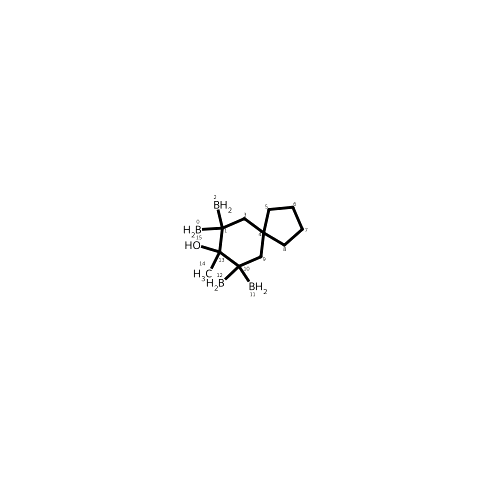 BC1(B)CC2(CCCC2)CC(B)(B)C1(C)O